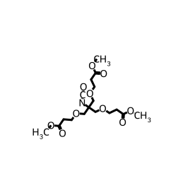 COC(=O)CCOCC(COCCC(=O)OC)(COCCC(=O)OC)N=C=O